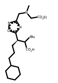 CCOC(=O)CN(C)Cc1noc([C@H](CCCC2CCCCC2)C(C(=O)O)C(C)(C)C)n1